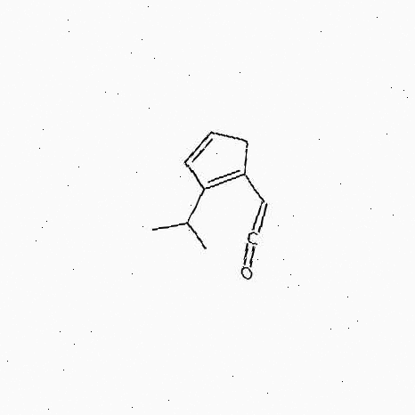 CC(C)C1=C(C=C=O)CC=C1